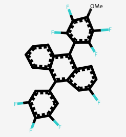 COc1c(F)c(F)c(-c2c3ccccc3c(-c3cc(F)c(F)c(F)c3)c3cc(F)ccc23)c(F)c1F